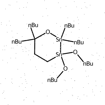 CCCC[O][Sn]1([O]CCCC)[CH2]CC(CCCC)(CCCC)[O][Sn]1([CH2]CCC)[CH2]CCC